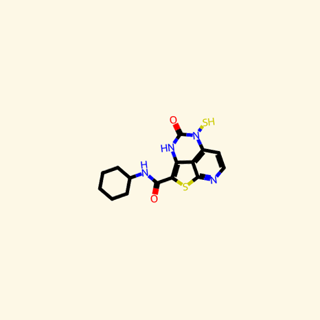 O=C(NC1CCCCC1)c1sc2nccc3c2c1NC(=O)N3S